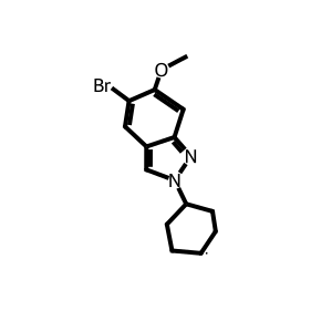 COc1cc2nn(C3CC[CH]CC3)cc2cc1Br